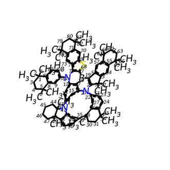 CC1(C)CCC(C)(C)c2cc(N3c4cc5cc6c4B(C4=C(N6c6ccc7c(c6)C(C)(CCC7(C)C)c6ccc7c(c6)N5C5(C)CCCCC75C)C(C)(C)c5cc6c(cc54)C(C)(C)CCC6(C)C)c4sc5cc6c(cc5c43)C(C)(C)CCC6(C)C)ccc21